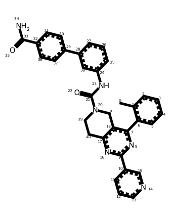 Cc1ccccc1-c1nc(-c2cccnc2)nc2c1CN(C(=O)Nc1cccc(-c3ccc(C(N)=O)cc3)c1)CC2